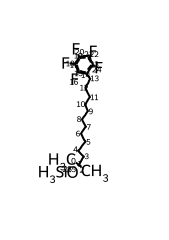 CC(C)(CCCCCCCCCCCc1c(F)c(F)c(F)c(F)c1F)O[SiH3]